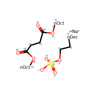 CCCCCCCCCCCCOS(=O)(=O)[O-].CCCCCCCCOC(=O)CCC(=O)OCCCCCCCC.[Na+]